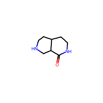 O=C1NCCC2CCNCC12